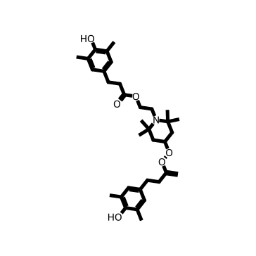 C=C(CCc1cc(C)c(O)c(C)c1)OOC1CC(C)(C)N(CCOC(=O)CCc2cc(C)c(O)c(C)c2)C(C)(C)C1